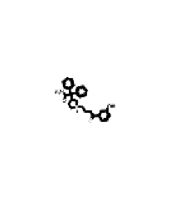 COc1cccc(C(=O)CCC[N@@+]2(C)CCC(C(C(N)=O)(c3ccccc3)c3ccccc3)C2)c1